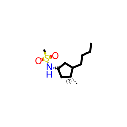 CCCCC1C[C@@H](NS(C)(=O)=O)C[C@H]1C